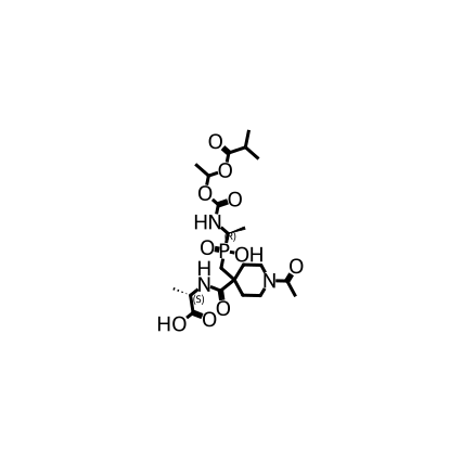 CC(=O)N1CCC(CP(=O)(O)[C@H](C)NC(=O)OC(C)OC(=O)C(C)C)(C(=O)N[C@@H](C)C(=O)O)CC1